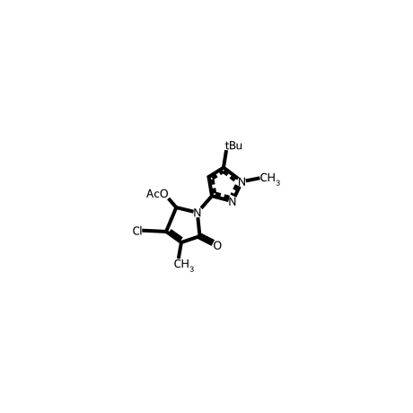 CC(=O)OC1C(Cl)=C(C)C(=O)N1c1cc(C(C)(C)C)n(C)n1